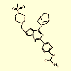 CS(=O)(=O)N1CCN(Cc2cc3c(N4CC5CCC(C4)O5)nc(-c4ccc(NC(N)=O)cc4)nn3c2)CC1